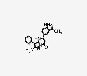 Cc1n[nH]c2ccc(-c3cc(=O)n4nc(N)c(-c5ccccn5)c4[nH]3)cc12